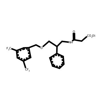 CCOC(=O)CC(=O)NCC(COCc1cc(C(F)(F)F)cc(C(F)(F)F)c1)c1ccccc1